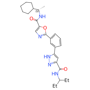 CCC(CC)NC(=O)c1cc(-c2cccc(-c3ncc(C(=O)N[C@@H](C)C4CCCCC4)o3)c2)[nH]n1